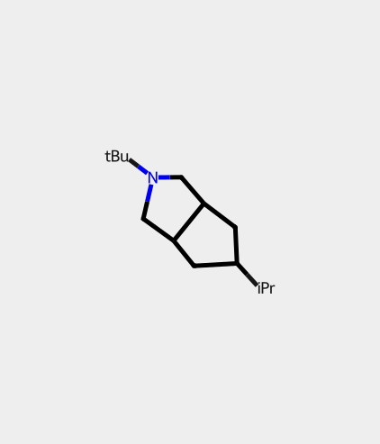 CC(C)C1CC2CN(C(C)(C)C)CC2C1